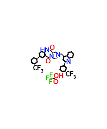 O=C(O)C(F)(F)F.O=C1Nc2ccc(-c3cccc(C(F)(F)F)c3)cc2C(=O)N2CCN(Cc3cc(-c4cccc(C(F)(F)F)c4)nc4ccccc34)CC12